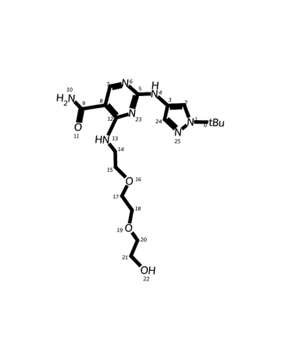 CC(C)(C)n1cc(Nc2ncc(C(N)=O)c(NCCOCCOCCO)n2)cn1